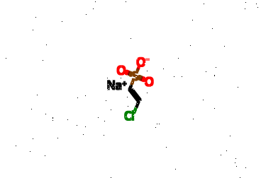 O=S(=O)([O-])C=CCl.[Na+]